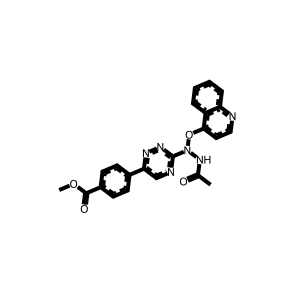 COC(=O)c1ccc(-c2cnc(N(NC(C)=O)Oc3ccnc4ccccc34)nn2)cc1